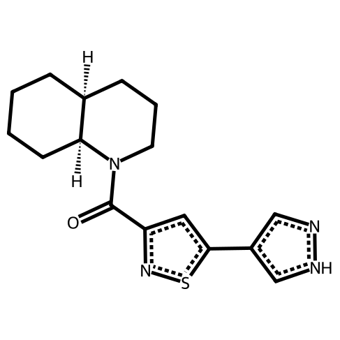 O=C(c1cc(-c2cn[nH]c2)sn1)N1CCC[C@@H]2CCCC[C@@H]21